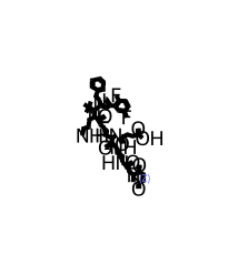 CN(CC(=O)NCCNC(=O)C(CSCC(=O)N(CCCN)C(c1cc(-c2cc(F)ccc2F)cn1Cc1ccccc1)C(C)(C)C)NC(=O)CCC(=O)O)C(=O)/C=C\C=O